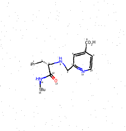 CC(C)C[C@H](NCc1cc(C(=O)O)ccn1)C(=O)NC(C)(C)C